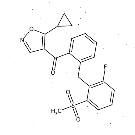 CS(=O)(=O)c1cccc(F)c1Cc1ccccc1C(=O)c1cnoc1C1CC1